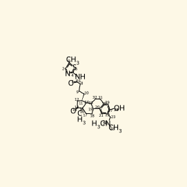 Cc1cnc(NC(=O)CCC[C@@H]2CC(=O)[C@@]3(C)CCC4c5cc(CN(C)C)c(O)cc5CCC4C23)s1